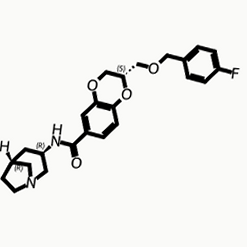 O=C(N[C@@H]1C[C@H]2CCN(C2)C1)c1ccc2c(c1)OC[C@H](COCc1ccc(F)cc1)O2